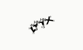 CC(C)(C)NC(=S)Nc1nccs1